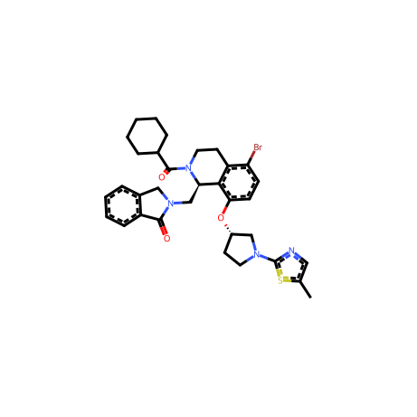 Cc1cnc(N2CC[C@H](Oc3ccc(Br)c4c3[C@@H](CN3Cc5ccccc5C3=O)N(C(=O)C3CCCCC3)CC4)C2)s1